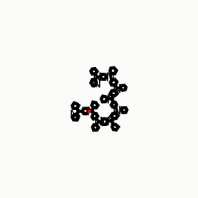 c1ccc(C(c2ccc(N(c3ccccc3)c3ccc(N(c4ccccc4)c4ccc(N(c5ccccc5)c5ccc(N(c6ccccc6)c6ccc(N(c7ccccc7)c7ccc(N(c8ccccc8)c8ccc(N(c9ccccc9)c9ccc(N(c%10ccccc%10)c%10ccccn%10)cc9)cc8)cc7)cc6)cc5)cc4)cc3)cc2)c2ccccn2)cc1